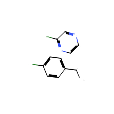 Clc1cnccn1.N#CCc1ccc(Cl)cc1